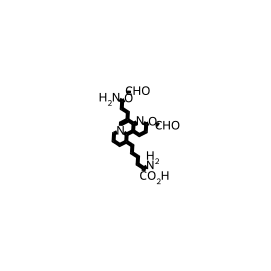 NC(CCC1=CN2CCCC(CCCCC(N)C(=O)O)C2C2CCC(OC=O)N=C12)OC=O